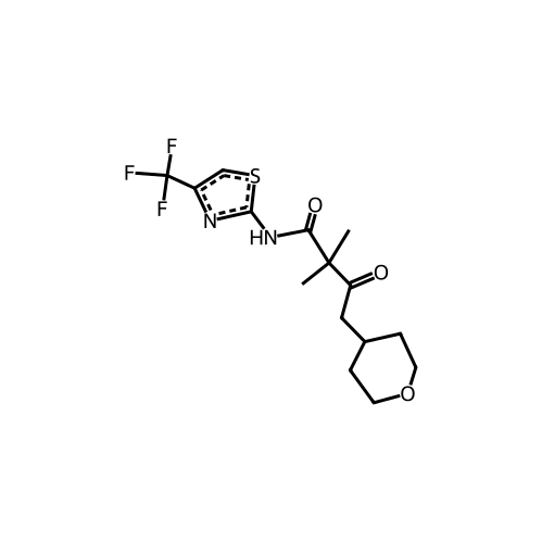 CC(C)(C(=O)CC1CCOCC1)C(=O)Nc1nc(C(F)(F)F)cs1